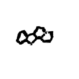 c1ccc2c(c1)sc1c2cc[n+]2ccccc12